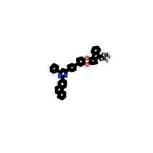 CC1(C)c2ccccc2-c2c1ccc1c2Oc2ccc(-c3ccc(-c4cc(-c5ccccc5)nc(-c5ccc6c(ccc7ccccc76)c5)n4)cc3)cc2O1